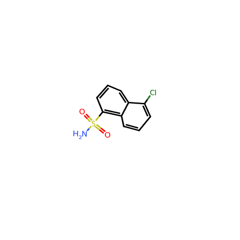 NS(=O)(=O)c1cccc2c(Cl)cccc12